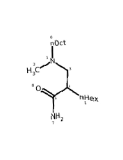 CCCCCCCCN(C)CC(CCCCCC)C(N)=O